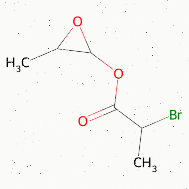 CC(Br)C(=O)OC1OC1C